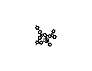 Cc1ccc(-c2ccc(N(c3ccc(-c4ccc(C)cc4)cc3)c3ccc4c5cc6c(cc5n(-c5nc(-c7ccccc7)cc(-c7ccccc7)n5)c4c3)c3ccccc3n6-c3ccccc3)cc2)cc1